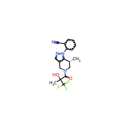 C[C@@H]1CN(C(=O)C(C)(O)C(F)(F)F)Cc2cnn(-c3ccccc3C#N)c21